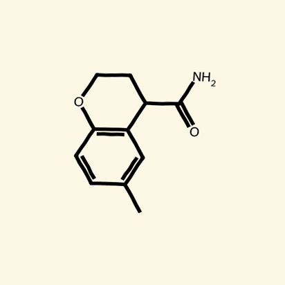 Cc1ccc2c(c1)C(C(N)=O)CCO2